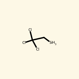 [SiH3]CC(Cl)(Cl)Cl